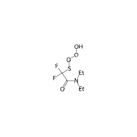 CCN(CC)C(=O)C(F)(F)SOOO